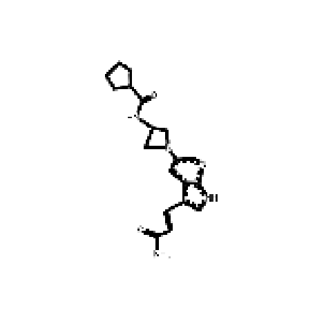 NC(=O)/C=C/c1c[nH]c2ncc(N3CC(NC(=O)C4CCCC4)C3)cc12